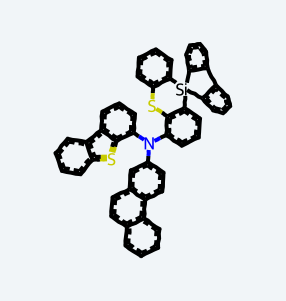 c1ccc2c(c1)Sc1c(N(c3ccc4c(ccc5ccccc54)c3)c3cccc4c3sc3ccccc34)cccc1[Si]21c2ccccc2-c2ccccc21